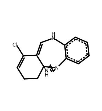 ClC1=CCCC23NC=CN2c2ccccc2NC=C13